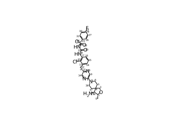 C[C@@H]1OCC2(CCN(c3cnc(Sc4cccc(NC(=O)NS(=O)(=O)c5ccc(F)cc5)c4Cl)cn3)CC2)[C@@H]1N